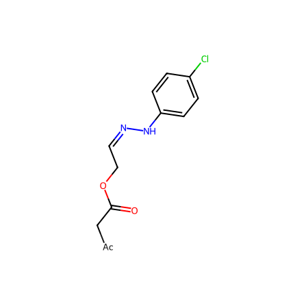 CC(=O)CC(=O)OC/C=N\Nc1ccc(Cl)cc1